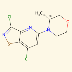 C[C@@H]1COCCN1c1cc(Cl)c2snc(Cl)c2n1